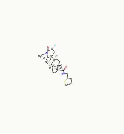 CN1C(=O)[C@H](F)C[C@]2(C)[C@H]3CC[C@]4(C)[C@@H](C(=O)NCc5cccs5)CC[C@H]4[C@@H]3CC[C@@H]12